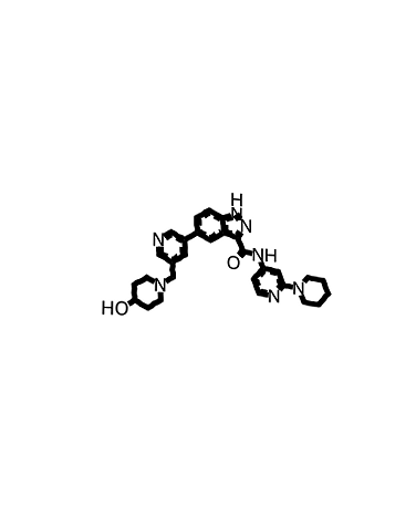 O=C(Nc1ccnc(N2CCCCC2)c1)c1n[nH]c2ccc(-c3cncc(CN4CCC(O)CC4)c3)cc12